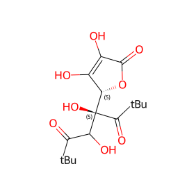 CC(C)(C)C(=O)C(O)[C@@](O)(C(=O)C(C)(C)C)[C@H]1OC(=O)C(O)=C1O